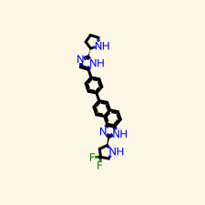 FC1(F)CN[C@H](c2nc3c(ccc4cc(-c5ccc(-c6cnc([C@@H]7CCCN7)[nH]6)cc5)ccc43)[nH]2)C1